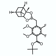 COc1c(CB2OC3C[C@@H]4C[C@@H](C4(C)C)[C@]3(C)O2)c(F)c(F)c(C(=O)OC(C)(C)C)c1OC